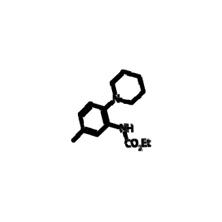 CCOC(=O)Nc1cc(C)ccc1N1CCCCC1